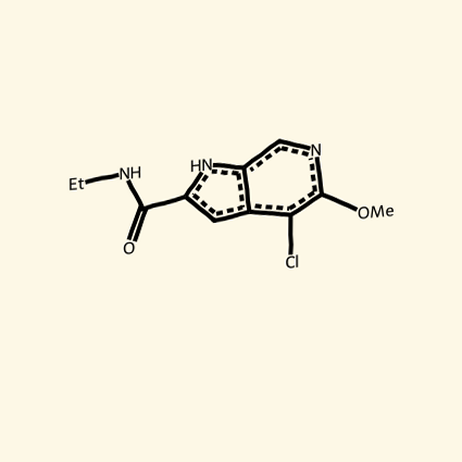 CCNC(=O)c1cc2c(Cl)c(OC)ncc2[nH]1